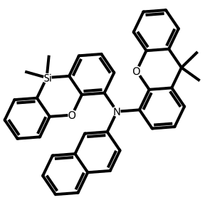 CC1(C)c2ccccc2Oc2c(N(c3ccc4ccccc4c3)c3cccc4c3Oc3ccccc3[Si]4(C)C)cccc21